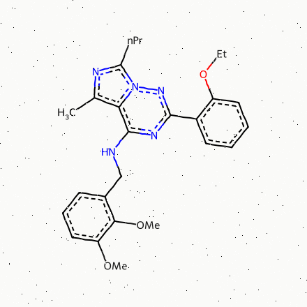 CCCc1nc(C)c2c(NCc3cccc(OC)c3OC)nc(-c3ccccc3OCC)nn12